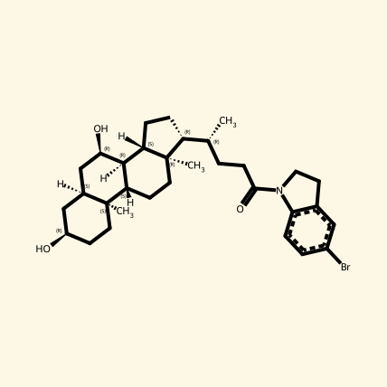 C[C@H](CCC(=O)N1CCc2cc(Br)ccc21)[C@H]1CC[C@H]2[C@@H]3[C@H](O)C[C@@H]4C[C@H](O)CC[C@]4(C)[C@H]3CC[C@]12C